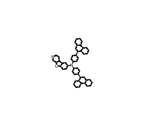 c1ccc2c(c1)cc(-c1ccc(N(c3ccc(-c4cc5ccccc5c5ccccc45)cc3)c3ccc4oc5cnccc5c4c3)cc1)c1ccccc12